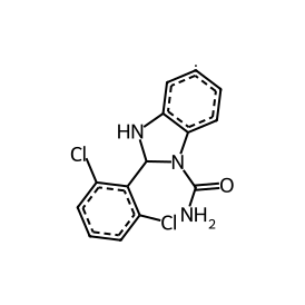 NC(=O)N1c2cc[c]cc2NC1c1c(Cl)cccc1Cl